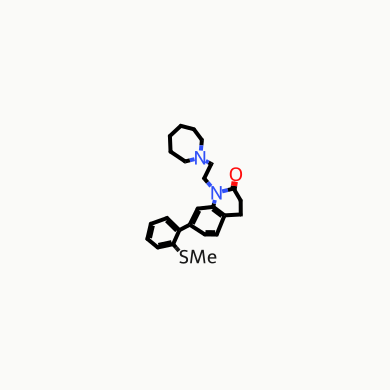 CSc1ccccc1-c1ccc2c(c1)N(CCN1CCCCCC1)C(=O)CC2